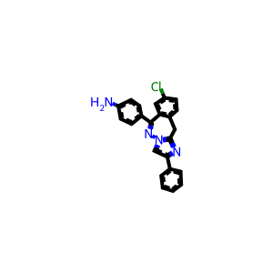 Nc1ccc(C2=Nn3cc(-c4ccccc4)nc3Cc3ccc(Cl)cc32)cc1